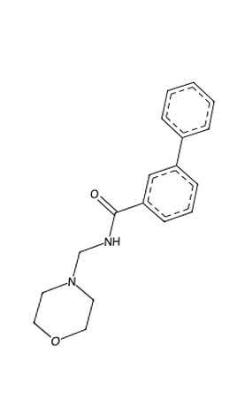 O=C(NCN1CCOCC1)c1cccc(-c2ccccc2)c1